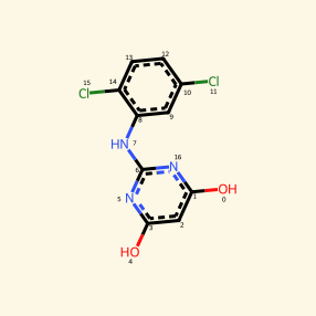 Oc1cc(O)nc(Nc2cc(Cl)ccc2Cl)n1